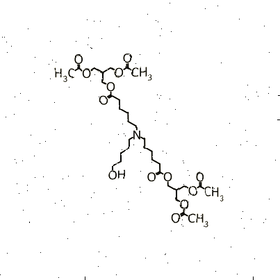 CC(=O)OCC(COC(C)=O)COC(=O)CCCCCN(CCCCCO)CCCCCC(=O)OCC(COC(C)=O)COC(C)=O